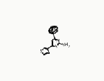 Nc1nc(-c2ccsc2)cc([C]23[CH]4[CH]5[CH]6[CH]2[Fe]56432789[CH]3[CH]2[CH]7[CH]8[CH]39)n1